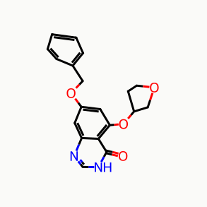 O=c1[nH]cnc2cc(OCc3ccccc3)cc(OC3CCOC3)c12